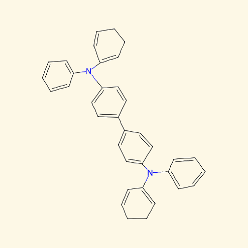 C1=CC(N(c2ccccc2)c2ccc(-c3ccc(N(C4=CCCC=C4)c4ccccc4)cc3)cc2)=CCC1